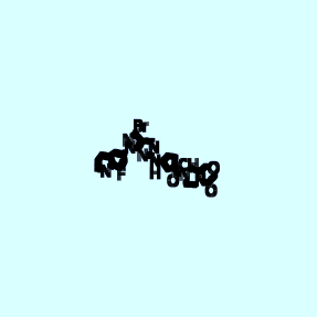 C[C@@]1(C(=O)N2CCN3C(=O)COCC3C2)CC[C@@H](Nc2ncc3c(Br)nn(-c4cc(F)c5ncccc5c4)c3n2)C1